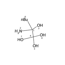 CCCCC(N)(O)C(O)(O)O